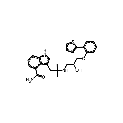 CC(C)(Cc1c[nH]c2cccc(C(N)=O)c12)NC[C@H](O)COc1ccccc1-c1cccs1